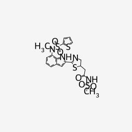 CN(c1cccc2cc(C3=NCC(CC(=O)NS(C)(=O)=O)S3)[nH]c12)S(=O)(=O)c1cccs1